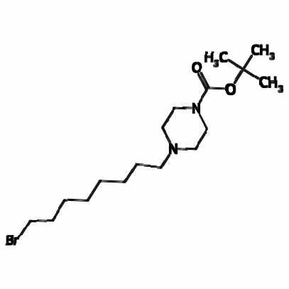 CC(C)(C)OC(=O)N1CCN(CCCCCCCCBr)CC1